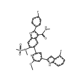 CNC(=O)c1c(-c2ccc(F)cc2)oc2cc(N(C)S(C)(=O)=O)c(-c3cc(-c4cc5c(F)cccc5[nH]4)cc(OC)n3)cc12